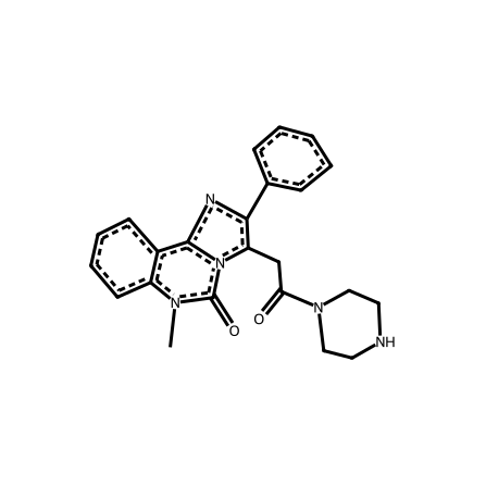 Cn1c(=O)n2c(CC(=O)N3CCNCC3)c(-c3ccccc3)nc2c2ccccc21